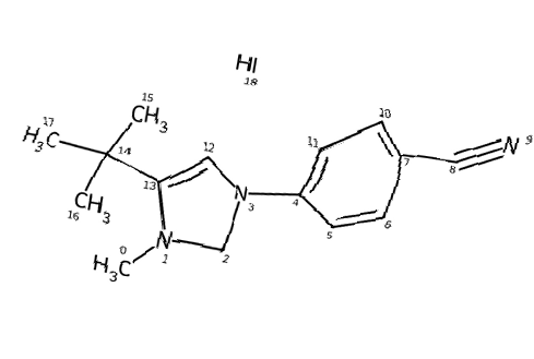 CN1CN(c2ccc(C#N)cc2)C=C1C(C)(C)C.I